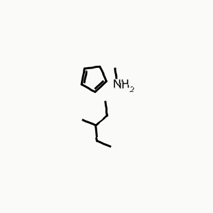 C1=CCC=C1.CCC(C)CC.CN